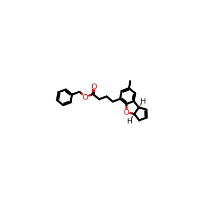 Cc1cc(CCCC(=O)OCc2ccccc2)c2c(c1)[C@H]1C=CC[C@H]1O2